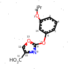 CC(C)Oc1cccc(Oc2nc(C(=O)O)co2)c1